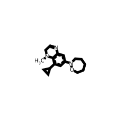 CN1CC=Nc2cc(N3CCCCCO3)cc(C3CC3)c21